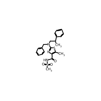 Cc1sc(N(Cc2ccccc2)CC(C)c2ccccc2)nc1C(=O)NS(C)(=O)=O